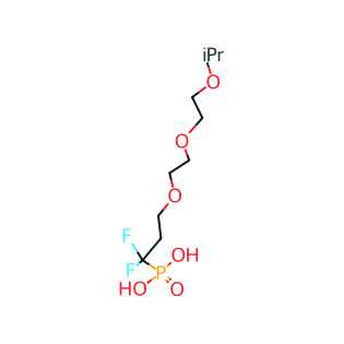 CC(C)OCCOCCOCCC(F)(F)P(=O)(O)O